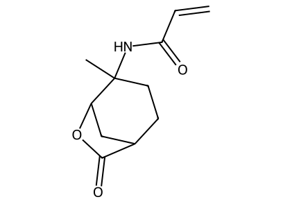 C=CC(=O)NC1(C)CCC2CC1OC2=O